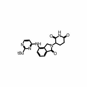 CC(C)(C)c1nccc(Nc2cccc3c2CN(C2CCC(=O)NC2=O)C3=O)n1